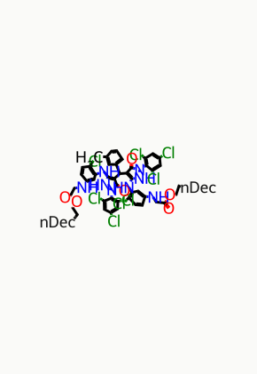 CCCCCCCCCCCCOC(=O)CNc1ccc(Cl)c(Nc2[nH]n(-c3c(Cl)cc(Cl)cc3Cl)c(=O)c2C(c2cccc(C)c2)c2c(Nc3cc(NCC(=O)OCCCCCCCCCCCC)ccc3Cl)[nH]n(-c3c(Cl)cc(Cl)cc3Cl)c2=O)c1